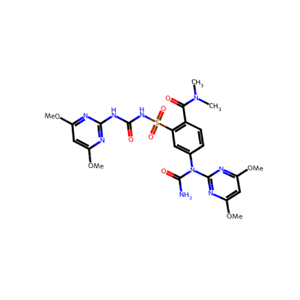 COc1cc(OC)nc(NC(=O)NS(=O)(=O)c2cc(N(C(N)=O)c3nc(OC)cc(OC)n3)ccc2C(=O)N(C)C)n1